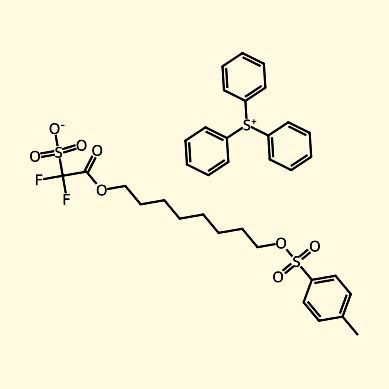 Cc1ccc(S(=O)(=O)OCCCCCCCCOC(=O)C(F)(F)S(=O)(=O)[O-])cc1.c1ccc([S+](c2ccccc2)c2ccccc2)cc1